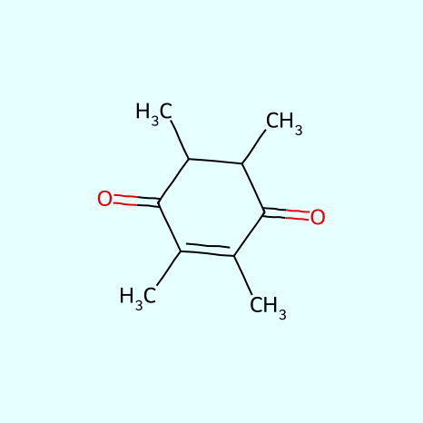 CC1=C(C)C(=O)C(C)C(C)C1=O